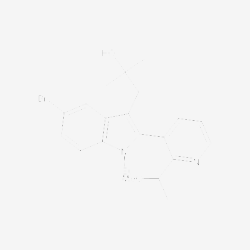 CCn1c(-c2cccnc2C(C)OC)c(CC(C)(C)O)c2cc(Br)ccc21